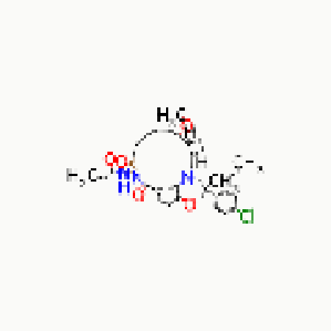 CCCc1cc(Cl)ccc1[C@]1(C)COc2ccc3cc2N(C[C@@H]2CC[C@H]2[C@@H](OC)CCCCC[S@](=O)(NC(=O)CC)=NC3=O)C1